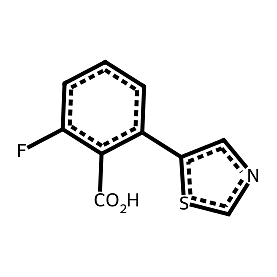 O=C(O)c1c(F)cccc1-c1cncs1